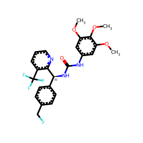 COc1cc(NC(=O)N[C@@H](c2ccc(CF)cc2)c2ncccc2C(F)(F)F)cc(OC)c1OC